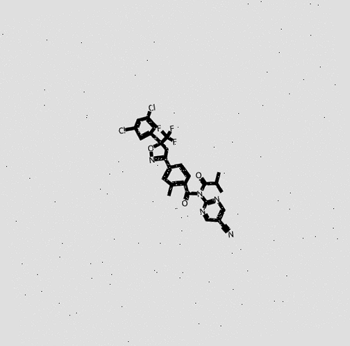 Cc1cc(C2=NOC(c3cc(Cl)cc(Cl)c3)(C(F)(F)F)C2)ccc1C(=O)N(C(=O)C(C)C)c1ncc(C#N)cn1